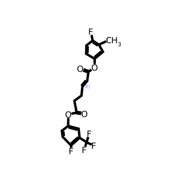 Cc1cc(OC(=O)/C=C/CCC(=O)Oc2ccc(F)c(C(F)(F)F)c2)ccc1F